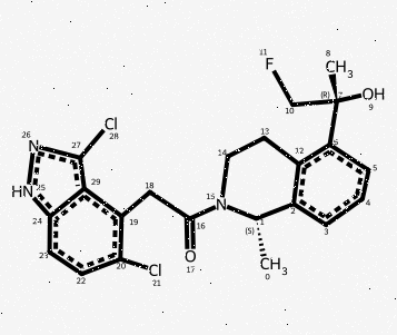 C[C@H]1c2cccc([C@@](C)(O)CF)c2CCN1C(=O)Cc1c(Cl)ccc2[nH]nc(Cl)c12